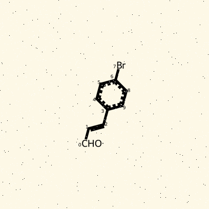 O=[C]C=Cc1ccc(Br)cc1